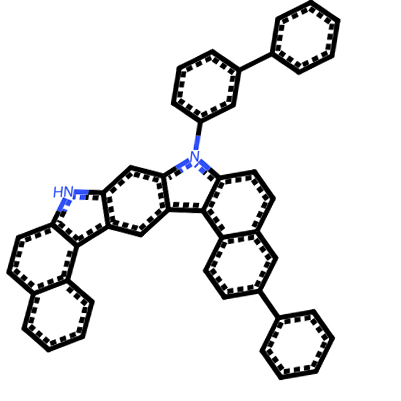 c1ccc(-c2cccc(-n3c4cc5[nH]c6ccc7ccccc7c6c5cc4c4c5ccc(-c6ccccc6)cc5ccc43)c2)cc1